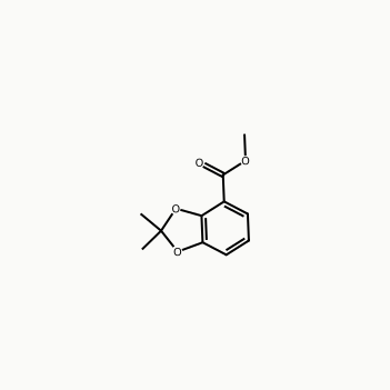 COC(=O)c1cccc2c1OC(C)(C)O2